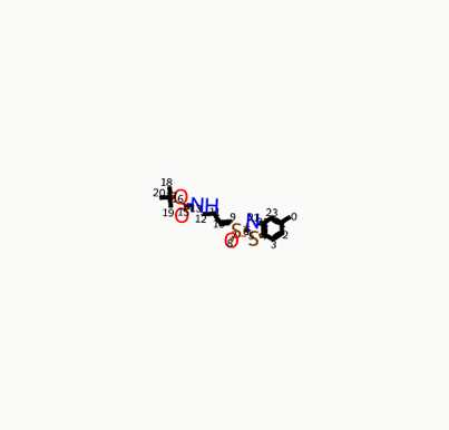 Cc1ccc2sc([S+]([O-])/C=C/CCNC(=O)OC(C)(C)C)nc2c1